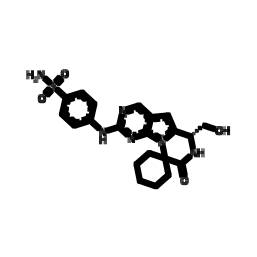 NS(=O)(=O)c1ccc(Nc2ncc3cc4n(c3n2)C2(CCCCC2)C(=O)N[C@H]4CO)cc1